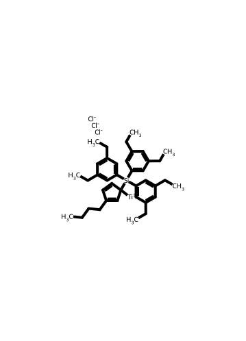 CCCCC1=C[C]([Ti+3])([Si](c2cc(CC)cc(CC)c2)(c2cc(CC)cc(CC)c2)c2cc(CC)cc(CC)c2)C=C1.[Cl-].[Cl-].[Cl-]